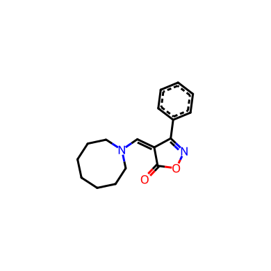 O=C1ON=C(c2ccccc2)C1=CN1CCCCCCC1